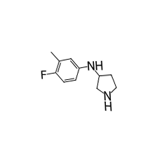 Cc1cc(NC2CCNC2)ccc1F